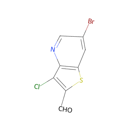 O=Cc1sc2cc(Br)cnc2c1Cl